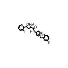 O=C(Nc1cnn(Cc2cc(F)ccc2C(F)(F)F)c1)C1CC(c2ncccc2F)ON1